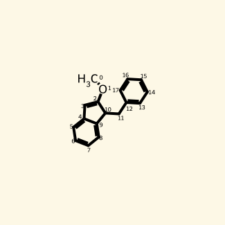 COC1=Cc2ccccc2C1Cc1ccccc1